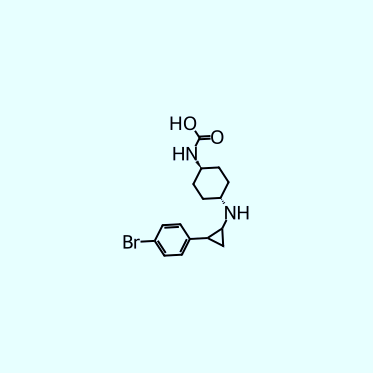 O=C(O)N[C@H]1CC[C@H](NC2CC2c2ccc(Br)cc2)CC1